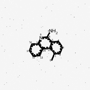 Cc1cccc2c(N)nc3ccccc3c12